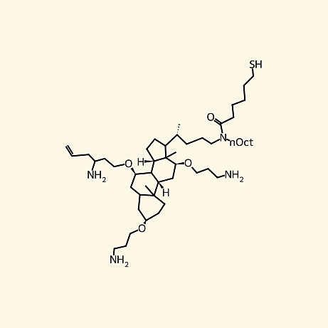 C=CCC(N)CCO[C@@H]1CC2C[C@H](OCCCN)CCC2(C)[C@H]2C[C@H](OCCCN)C3(C)C([C@H](C)CCCN(CCCCCCCC)C(=O)CCCCCS)CC[C@H]3C12